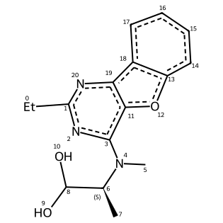 CCc1nc(N(C)[C@@H](C)C(O)O)c2oc3ccccc3c2n1